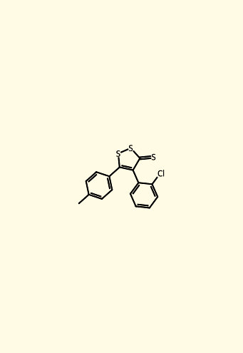 Cc1ccc(-c2ssc(=S)c2-c2ccccc2Cl)cc1